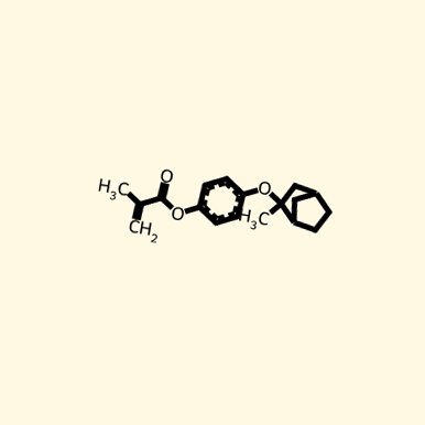 C=C(C)C(=O)Oc1ccc(OC2(C)CC3CCC2C3)cc1